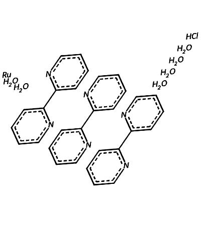 Cl.O.O.O.O.O.O.[Ru].c1ccc(-c2ccccn2)nc1.c1ccc(-c2ccccn2)nc1.c1ccc(-c2ccccn2)nc1